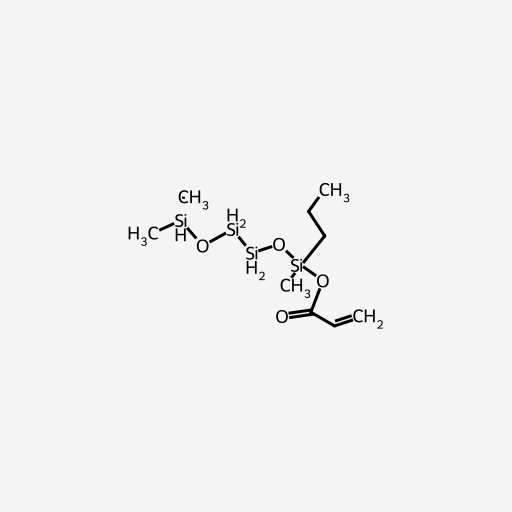 C=CC(=O)O[Si](C)(CCC)O[SiH2][SiH2]O[SiH](C)C